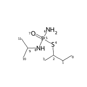 CCC(C)SP(N)(=O)NC(C)C